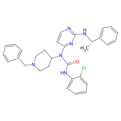 C[C@H](Nc1nccc(N(C(=O)Nc2ccccc2Cl)C2CCN(Cc3ccccc3)CC2)n1)c1ccccc1